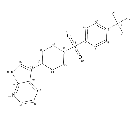 CC(C)(C)c1ccc(S(=O)(=O)N2CCC(c3csc4ncccc34)CC2)cc1